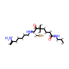 C=C(N)CCCCCN[C@@H](CS)C(=O)C(C)(C)CCCC(=O)NCCC